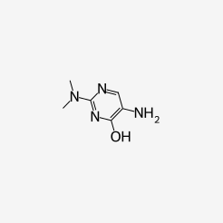 CN(C)c1ncc(N)c(O)n1